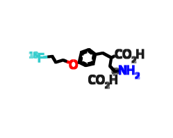 N[C@@H](CC(Cc1ccc(OCCC[18F])cc1)C(=O)O)C(=O)O